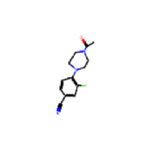 CC(=O)N1CCN(c2ccc(C#N)cc2F)CC1